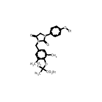 CCOC(=O)C(C)(C)Oc1c(C)cc(CN2C(=O)CN(c3ccc(OCC)cc3)C2=O)cc1C